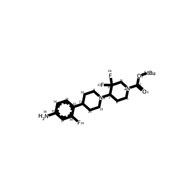 CC(C)(C)OC(=O)N1CCC(N2CCC(c3ccc(N)cc3F)CC2)C(F)(F)C1